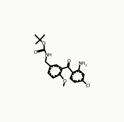 COc1ccc(CNC(=O)OC(C)(C)C)cc1C(=O)c1ccc(Cl)cc1N